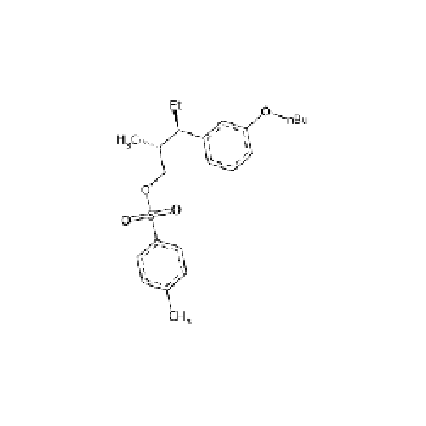 CCCCOc1cccc([C@H](CC)[C@@H](C)COS(=O)(=O)c2ccc(C)cc2)c1